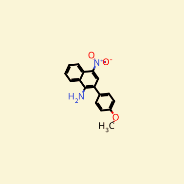 COc1ccc(-c2cc([N+](=O)[O-])c3ccccc3c2N)cc1